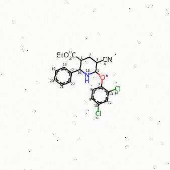 CCOC(=O)C1CC(C#N)C(Oc2ccc(Cl)cc2Cl)NC1c1ccccc1